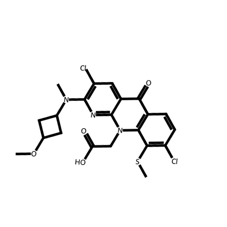 COC1CC(N(C)c2nc3c(cc2Cl)c(=O)c2ccc(Cl)c(SC)c2n3CC(=O)O)C1